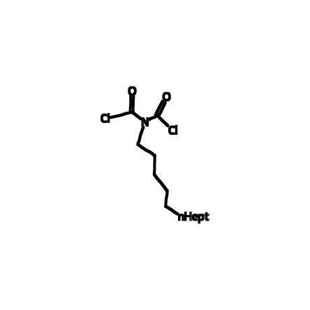 CCCCCCCCCCCCN(C(=O)Cl)C(=O)Cl